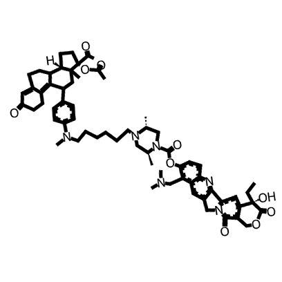 CC[C@@]1(O)C(=O)OCc2c1cc1n(c2=O)Cc2cc3c(CN(C)C)c(OC(=O)N4C[C@@H](C)N(CCCCCCN(C)c5ccc(C6CC7(C)[C@@H](CC[C@]7(OC(C)=O)C(C)=O)C7CCC8=CC(=O)CCC8=C67)cc5)C[C@@H]4C)ccc3nc2-1